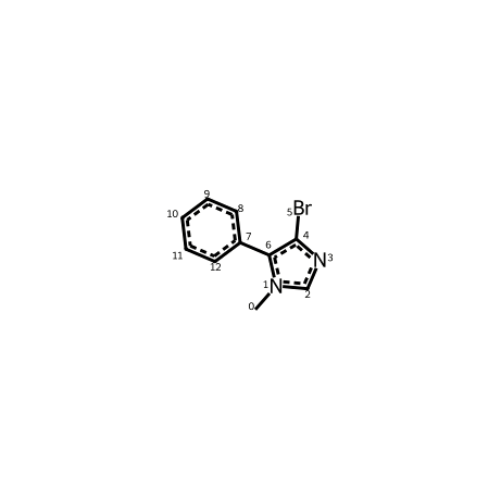 Cn1cnc(Br)c1-c1ccccc1